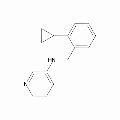 c1cncc(NCc2ccccc2C2CC2)c1